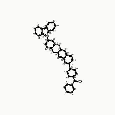 O=C(c1ccccc1)c1ccc(-c2ccc3cc4c(cc3c2)Cc2ccc(-n3c5ccccc5c5ccccc53)cc2C4)cc1